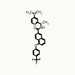 C[C@H](NC(=O)c1ccc2c(Oc3ccc(C(F)(F)F)cc3)cccc2c1)c1cc(N(C)C)ccn1